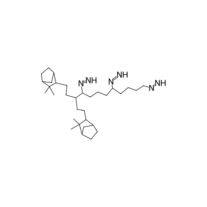 CC1(C)C2CCC(C2)C1CCC(CCC1C2CCC(C2)C1(C)C)C(CCCC(CCCCN=N)N=N)N=N